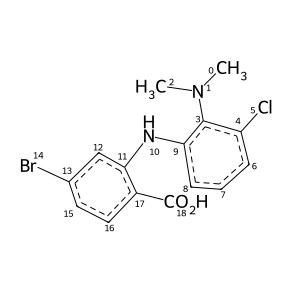 CN(C)c1c(Cl)cccc1Nc1cc(Br)ccc1C(=O)O